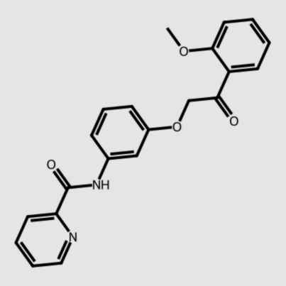 COc1ccccc1C(=O)COc1cccc(NC(=O)c2ccccn2)c1